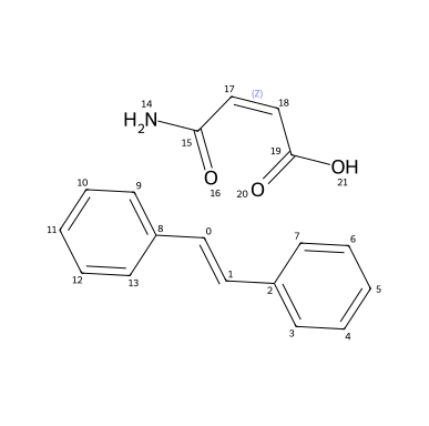 C(=Cc1ccccc1)c1ccccc1.NC(=O)/C=C\C(=O)O